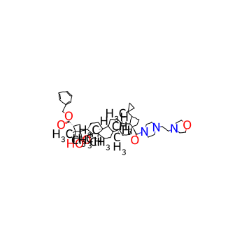 CC1(C2CC[C@]3(C(=O)N4CCN(CCN5CCOCC5)CC4)CC[C@]4(C)[C@H](CC[C@@H]5[C@]6(C)CC[C@H]([C@@]7(C(=O)O)C[C@@H](C(=O)OCc8ccccc8)C7(C)C)C(C)(C)[C@H]6CC[C@]54C)[C@@H]23)CC1